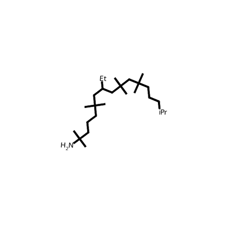 CCC(CC(C)(C)CCCC(C)(C)N)CC(C)(C)CC(C)(C)CCCC(C)C